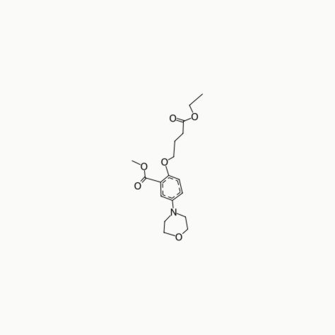 CCOC(=O)CCCOc1ccc(N2CCOCC2)cc1C(=O)OC